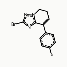 Fc1ccc(C2=CCCn3nc(Br)nc32)cc1